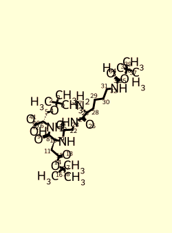 CC(C)(C)OC[C@H](NC(=O)[C@H](CC(=O)OC(C)(C)C)NC(=O)CNC(=O)[C@@H](N)CCCCNC(=O)OC(C)(C)C)C(=O)O